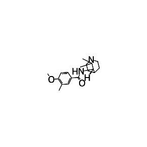 COc1ccc(C(=O)N[C@H]2C3CCN(CC3)C2(C)C)cc1C